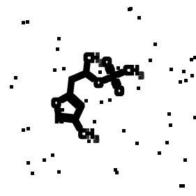 Cc1cc(CC(C)OS(C)(=O)=O)on1